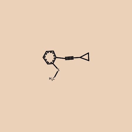 CSc1ccccc1C#CC1CC1